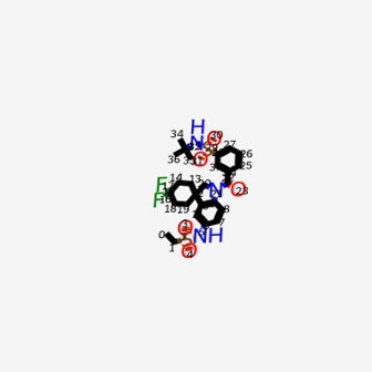 CCS(=O)(=O)Nc1ccc2c(c1)C1(CCC(F)(F)CC1)CN2C(=O)c1cccc(S(=O)(=O)NC(C)(C)C)c1